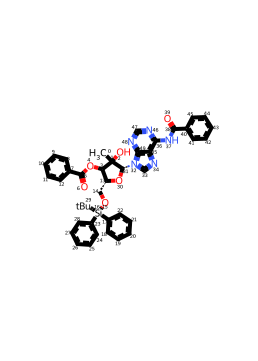 CC1(O)C(OC(=O)c2ccccc2)[C@@H](CO[Si](c2ccccc2)(c2ccccc2)C(C)(C)C)O[C@H]1n1cnc2c(NC(=O)c3ccccc3)ncnc21